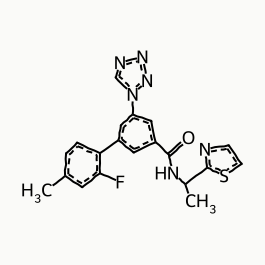 Cc1ccc(-c2cc(C(=O)NC(C)c3nccs3)cc(-n3cnnn3)c2)c(F)c1